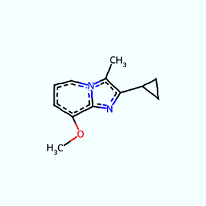 COc1cccn2c(C)c(C3CC3)nc12